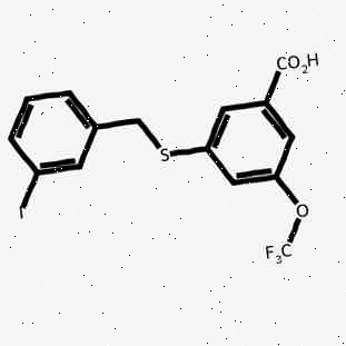 O=C(O)c1cc(OC(F)(F)F)cc(SCc2cccc(I)c2)c1